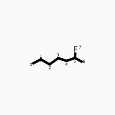 C[CH]CCCC(C)F